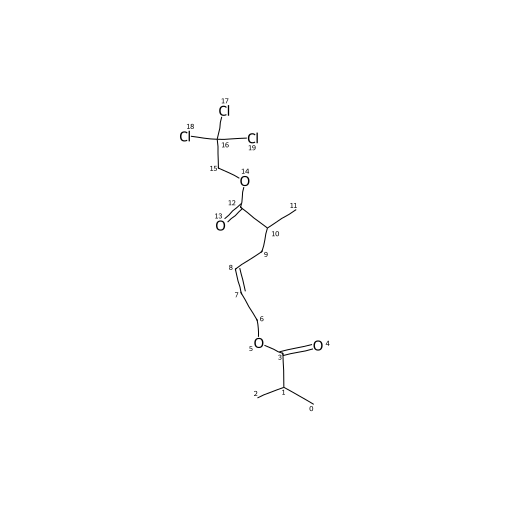 CC(C)C(=O)OC/C=C\CC(C)C(=O)OCC(Cl)(Cl)Cl